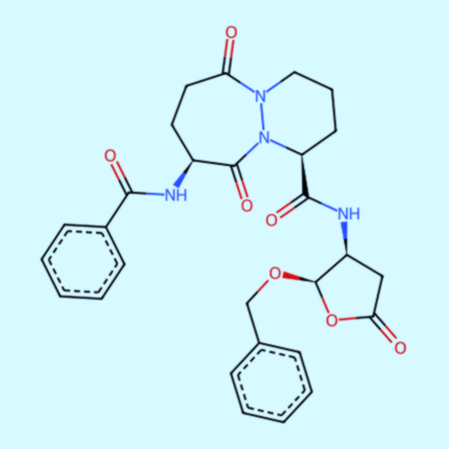 O=C1C[C@H](NC(=O)[C@@H]2CCCN3C(=O)CC[C@H](NC(=O)c4ccccc4)C(=O)N23)[C@H](OCc2ccccc2)O1